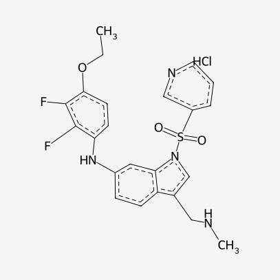 CCOc1ccc(Nc2ccc3c(CNC)cn(S(=O)(=O)c4cccnc4)c3c2)c(F)c1F.Cl